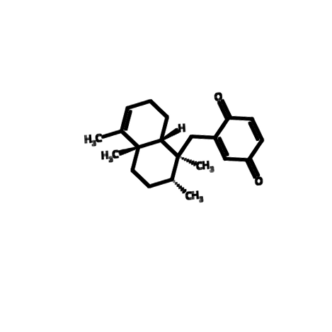 CC1=CCC[C@@H]2[C@@](C)(CC3=CC(=O)C=CC3=O)[C@H](C)CC[C@]12C